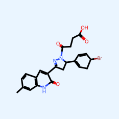 Cc1ccc2cc(C3=NN(C(=O)CCC(=O)O)C(C4=CCC(Br)C=C4)C3)c(=O)[nH]c2c1